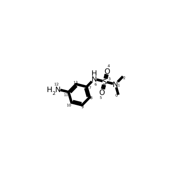 CN(C)S(=O)(=O)Nc1cccc(N)c1